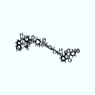 O=C1CCC(N2C(=O)c3cccc(NCCOCCOCCNC(=O)[C@H]4CC[C@H](NC(=O)c5cnc(Nc6ccc7cnccc7n6)cc5NC5CC5)CC4)c3C2=O)C(=O)N1